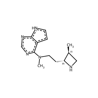 C[C@H]1CN[C@@H]1CCN(C)c1ncnc2[nH]ccc12